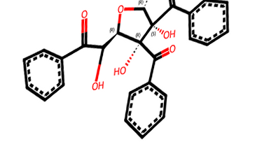 O=C(c1ccccc1)C(O)[C@H]1O[C@H](Cl)[C@@](O)(C(=O)c2ccccc2)[C@@]1(O)C(=O)c1ccccc1